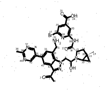 CC(=O)c1nn(CC(O)N2C3C[C@]3(C)C[C@H]2C(=O)Nc2cc(C(=O)O)cc(Br)n2)c2c(CN)cc(-c3cnc(C)nc3)cc12